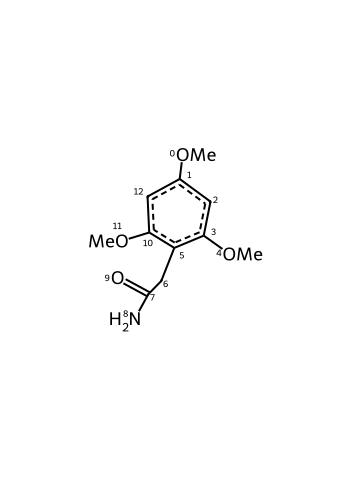 COc1cc(OC)c(CC(N)=O)c(OC)c1